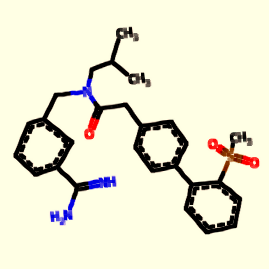 CC(C)CN(Cc1cccc(C(=N)N)c1)C(=O)Cc1ccc(-c2ccccc2S(C)(=O)=O)cc1